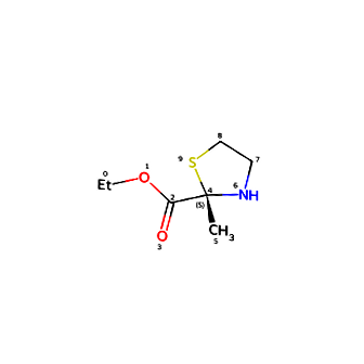 CCOC(=O)[C@@]1(C)NCCS1